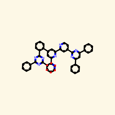 c1ccc(-c2cc(-c3ccccc3)nc(-c3ccnc(-c4cc(-c5ccccc5-c5nc(-c6ccccc6)nc(-c6ccccc6)n5)cc(-c5ccccn5)n4)c3)n2)cc1